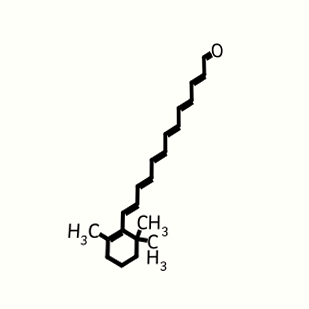 CC1=C(C=CC=CC=CC=CC=CC=CC=O)C(C)(C)CCC1